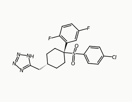 O=S(=O)(c1ccc(Cl)cc1)[C@]1(c2cc(F)ccc2F)CC[C@H](Cc2nnn[nH]2)CC1